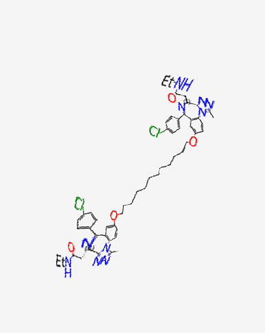 CCNC(=O)C[C@@H]1N=C(c2ccc(Cl)cc2)c2cc(OCCCCCCCCCCCCOc3ccc4c(c3)C(c3ccc(Cl)cc3)=N[C@@H](CC(=O)NCC)c3nnc(C)n3-4)ccc2-n2c(C)nnc21